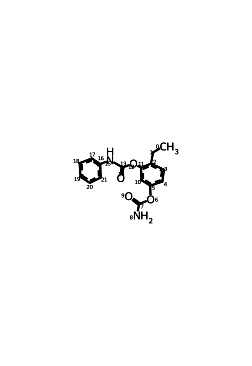 CCc1ccc(OC(N)=O)cc1OC(=O)Nc1ccccc1